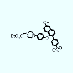 CCOC(=O)CN1CCN(c2ccc(Oc3c(-c4ccc(S(C)(=O)=O)cc4)ccc4cc(O)ccc34)cc2)CC1